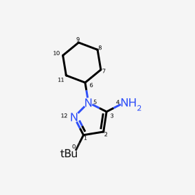 CC(C)(C)c1cc(N)n(C2CCCCC2)n1